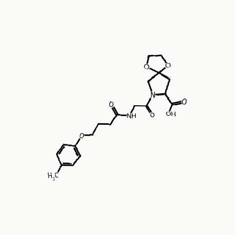 Cc1ccc(OCCCC(=O)NCC(=O)N2CC3(CC2C(=O)O)OCCO3)cc1